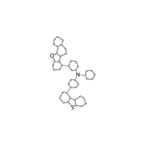 c1ccc(N(c2ccc(-c3cccc4sc5ccccc5c34)cc2)c2cccc(-c3cccc4oc5c6ccccc6ccc5c34)c2)cc1